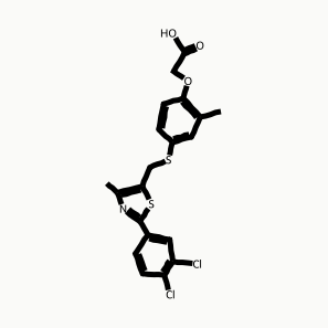 Cc1cc(SCc2sc(-c3ccc(Cl)c(Cl)c3)nc2C)ccc1OCC(=O)O